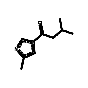 Cc1cn(C(=O)CC(C)C)cn1